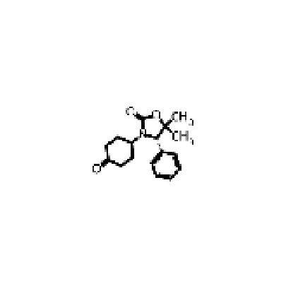 CC1(C)OC(=O)N(C2CCC(=O)CC2)[C@H]1c1ccccc1